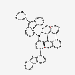 c1ccc(-c2cccc3cccc(-c4ccccc4N(c4ccc(-c5cccc6c5sc5ccccc56)cc4)c4cccc5c4c4ccccc4n5-c4ccccc4)c23)cc1